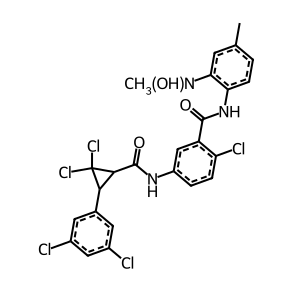 Cc1ccc(NC(=O)c2cc(NC(=O)C3C(c4cc(Cl)cc(Cl)c4)C3(Cl)Cl)ccc2Cl)c(N(C)O)c1